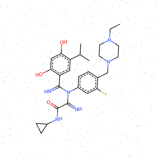 CCN1CCN(Cc2ccc(N(C(=N)C(=O)NC3CC3)C(=N)c3cc(C(C)C)c(O)cc3O)cc2F)CC1